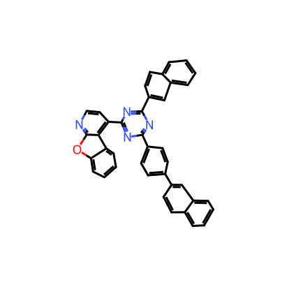 c1ccc2cc(-c3ccc(-c4nc(-c5ccc6ccccc6c5)nc(-c5ccnc6oc7ccccc7c56)n4)cc3)ccc2c1